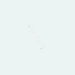 Cc1c2ccc(c1C)C(c1cc(=O)n3c(c1C1CC1)SCC3C(=O)Nc1ccccc1)O2